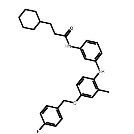 Cc1cc(OCc2ccc(F)cc2)ccc1Nc1cccc(NC(=O)CCC2CCCCC2)c1